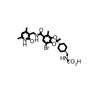 Cc1cc(C)c(CNC(=O)c2cc(Br)c3c(c2C)OC(C)([C@H]2CC[C@H](CNC(=O)O)CC2)O3)c(=O)[nH]1